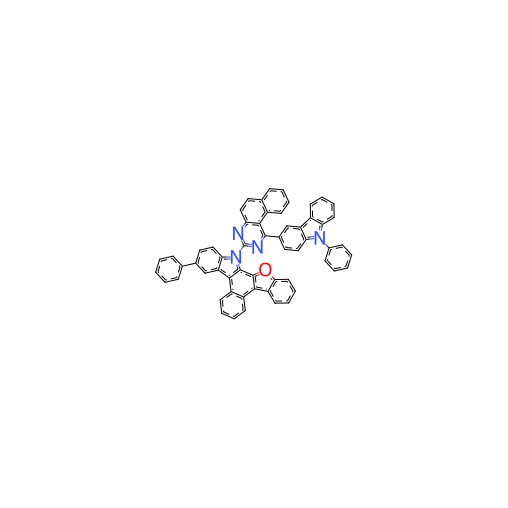 c1ccc(-c2ccc3c(c2)c2c4ccccc4c4c5ccccc5oc4c2n3-c2nc(-c3ccc4c(c3)c3ccccc3n4-c3ccccc3)c3c(ccc4ccccc43)n2)cc1